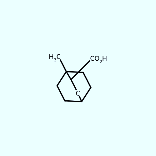 CC12CCC(CC1)CC2C(=O)O